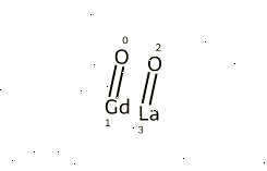 [O]=[Gd].[O]=[La]